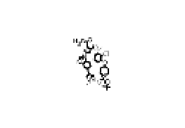 C[C@@H](Oc1cc(-n2cnc3cc(-c4cnn(C)c4)ccc32)sc1C(N)=O)c1cccc(OC2CCN(C(=O)OC(C)(C)C)CC2)c1Cl